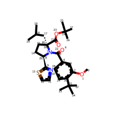 COc1cc(C(=O)N2[C@@H](c3nccs3)CC[C@@]2(CC(C)C)C(=O)OC(C)(C)C)ccc1C(C)(C)C